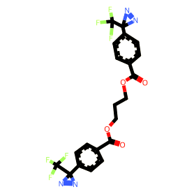 O=C(OCCCOC(=O)c1ccc(C2(C(F)(F)F)N=N2)cc1)c1ccc(C2(C(F)(F)F)N=N2)cc1